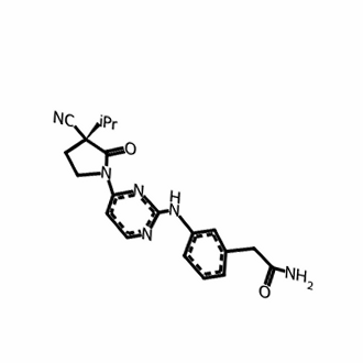 CC(C)[C@]1(C#N)CCN(c2ccnc(Nc3cccc(CC(N)=O)c3)n2)C1=O